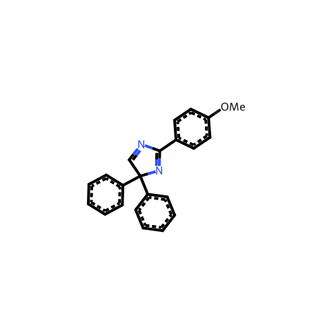 COc1ccc(C2=NC(c3ccccc3)(c3ccccc3)C=N2)cc1